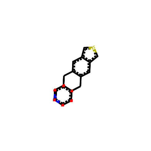 c1ccc2c(c1)C1c3ccncc3C2c2cc3cscc3cc21